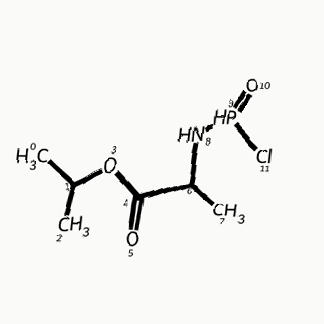 CC(C)OC(=O)C(C)N[PH](=O)Cl